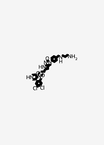 NCCCNCc1ccc(-n2cc3cc(CCS(=O)(=O)N(Cc4ccc(Cl)c(Cl)c4)C4CCNCC4)[nH]c3nc2=O)cc1